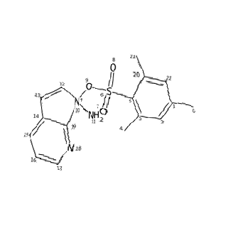 Cc1cc(C)c(S(=O)(=O)O[N+]2(N)C=Cc3cccnc32)c(C)c1